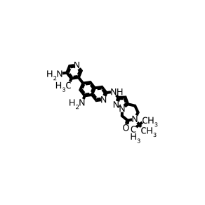 Cc1c(N)cncc1-c1cc(N)c2cnc(Nc3cc4n(n3)CC(=O)N(C(C)(C)C)CC4)cc2c1